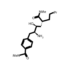 CNC(=O)c1ccc(C[C@H](N)[C@@H](O)C[C@@H](CCC(C)C)C(=O)NC)cc1